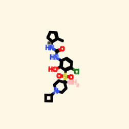 BC1(S(=O)(=O)c2c(Cl)ccc(NC(=O)N[C@@H]3CCC=C3C)c2O)CCN(C2CCC2)CC1